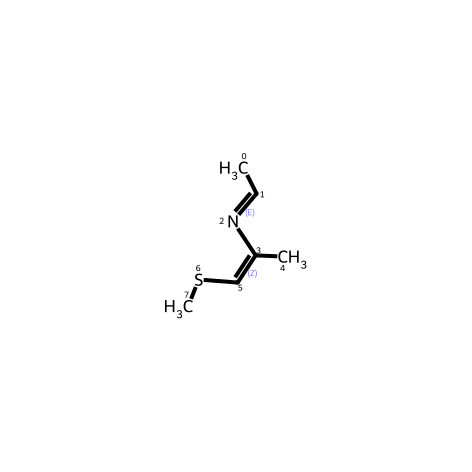 C/C=N/C(C)=C\SC